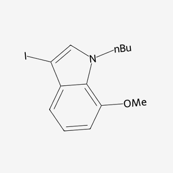 CCCCn1cc(I)c2cccc(OC)c21